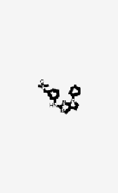 CP(C)(=O)Cc1cccc(Nc2ncc3ccn(-c4ccccc4)c3n2)c1